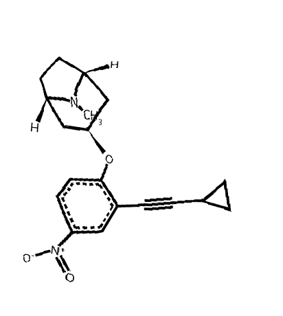 CN1[C@@H]2CC[C@H]1C[C@H](Oc1ccc([N+](=O)[O-])cc1C#CC1CC1)C2